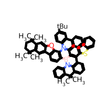 CC(C)(C)c1ccc(N2c3cc4c(sc5ccccc54)c4c3B(c3ccc5c(oc6cc7c(cc65)C(C)(C)CCC7(C)C)c32)N2c3ccccc3C(C)(C)c3cccc-4c32)c(-c2ccccc2)c1